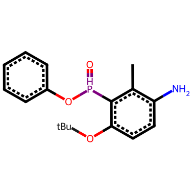 Cc1c(N)ccc(OC(C)(C)C)c1[PH](=O)Oc1ccccc1